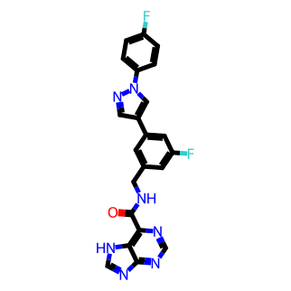 O=C(NCc1cc(F)cc(-c2cnn(-c3ccc(F)cc3)c2)c1)c1ncnc2nc[nH]c12